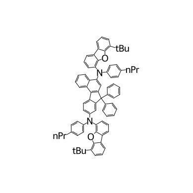 CCCc1ccc(N(c2ccc3c(c2)C(c2ccccc2)(c2ccccc2)c2cc(N(c4ccc(CCC)cc4)c4cccc5c4oc4c(C(C)(C)C)cccc45)c4ccccc4c2-3)c2cccc3c2oc2c(C(C)(C)C)cccc23)cc1